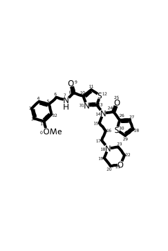 COc1cccc(CNC(=O)c2csc(N(CCCN3CCOCC3)C(=O)c3cccs3)n2)c1